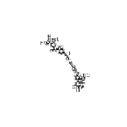 CCOc1cc2oc(-c3ccc(NCCOCCOCCOCCOc4cccc(C(=O)N(C)C5CCC(=O)NC5=O)c4C=O)cc3Cl)cc(=O)c2cc1C(O)CO